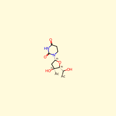 CC(=O)C(O)[C@H]1O[C@@H](N2CCC(=O)NC2=O)C[C@@]1(O)C(C)=O